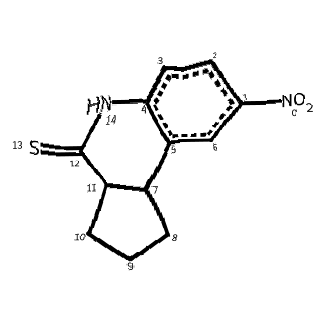 O=[N+]([O-])c1ccc2c(c1)C1CCCC1C(=S)N2